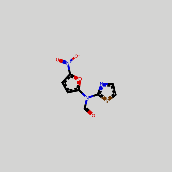 O=CN(c1ccc([N+](=O)[O-])o1)c1nccs1